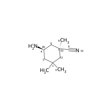 CC1(C)C[C@@H](N)C[C@@](C)(C#N)C1